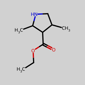 CCOC(=O)C1C(C)CNC1C